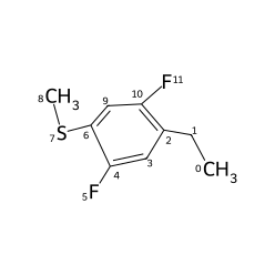 CCc1cc(F)c(SC)cc1F